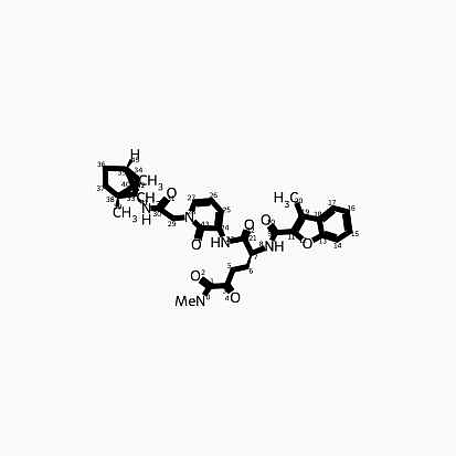 CNC(=O)C(=O)CC[C@H](NC(=O)c1oc2ccccc2c1C)C(=O)Nc1cccn(CC(=O)N[C@H]2C[C@H]3CC[C@]2(C)C3(C)C)c1=O